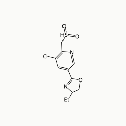 CCC1COC(c2cnc(C[SH](=O)=O)c(Cl)c2)=N1